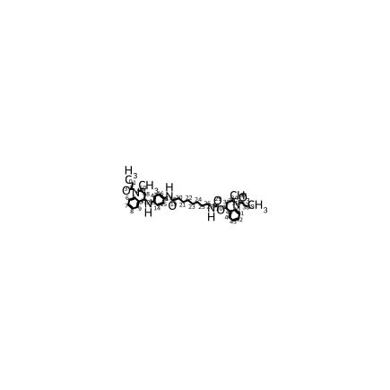 CCC(=O)N1c2ccccc2[C@H](Nc2ccc(NC(=O)CCCCCCCNC(=O)O[C@@H]3C[C@H](C)N(C(=O)CC)c4ccccc43)cc2)C[C@@H]1C